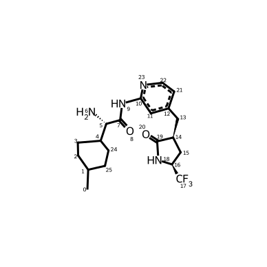 CC1CCC([C@H](N)C(=O)Nc2cc(C[C@H]3C[C@@H](C(F)(F)F)NC3=O)ccn2)CC1